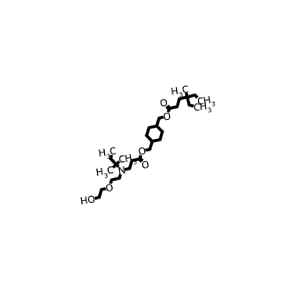 CCC(C)(CC)CCC(=O)OCC1CCC(COC(=O)CCN(CCOCCO)C(C)(C)CC)CC1